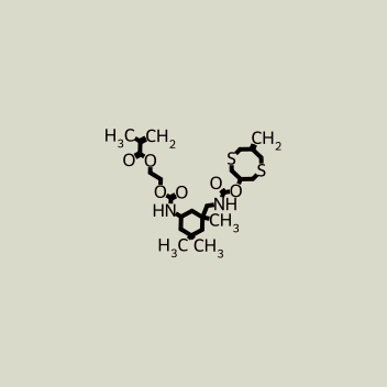 C=C1CSCC(OC(=O)NCC2(C)CC(NC(=O)OCCOC(=O)C(=C)C)CC(C)(C)C2)CSC1